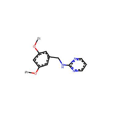 CCOc1cc(CNc2nc[c]cn2)cc(OC(C)C)c1